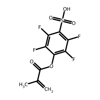 C=C(C)C(=O)Oc1c(F)c(F)c(S(=O)(=O)O)c(F)c1F